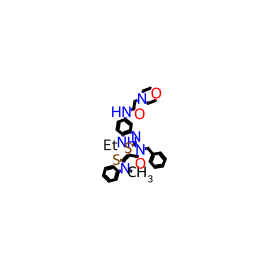 CCNc1ccc(NC(=O)CN2CCOCC2)cc1/N=C1\S/C(=C2\Sc3ccccc3N2C)C(=O)N1Cc1ccccc1